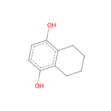 Oc1[c]cc(O)c2c1CCCC2